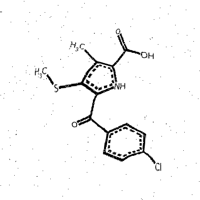 CSc1c(C(=O)c2ccc(Cl)cc2)[nH]c(C(=O)O)c1C